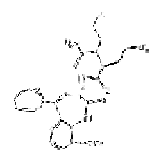 COc1cccc2c1NC(=O)[C@@H](NC(=O)[C@H](CCC(F)(F)F)[C@H](CCC(F)(F)F)C(N)=O)N=C2c1ccccc1